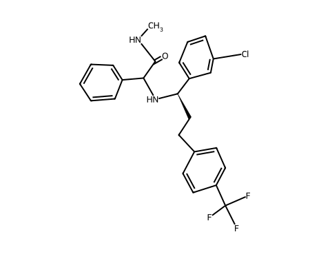 CNC(=O)C(N[C@H](CCc1ccc(C(F)(F)F)cc1)c1cccc(Cl)c1)c1ccccc1